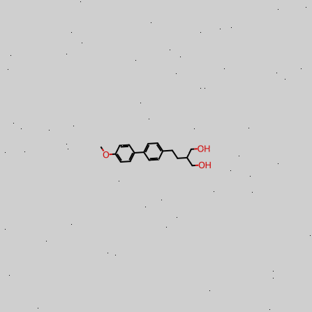 COc1ccc(-c2ccc(CCC(CO)CO)cc2)cc1